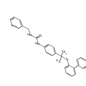 O=C(NCc1cccnc1)Nc1ccc(C(Oc2ccccc2-c2ccccc2)(C(F)(F)F)C(F)(F)F)cc1